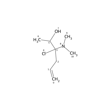 C=CCC(Cl)(C(C)O)N(C)C